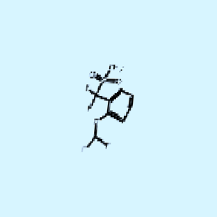 [CH2]S(=O)(=O)C(F)(F)c1ccccc1OC(F)F